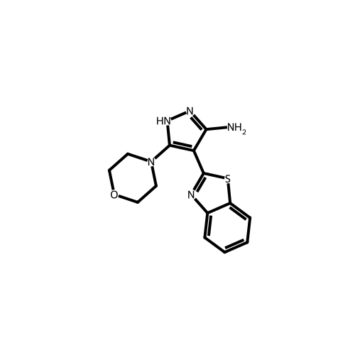 Nc1n[nH]c(N2CCOCC2)c1-c1nc2ccccc2s1